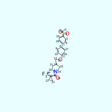 CS(=O)(=O)c1ccc(-c2ccc(OCC3CCN(C(=O)C4(C(F)(F)F)CC4)CC3)cc2)cc1